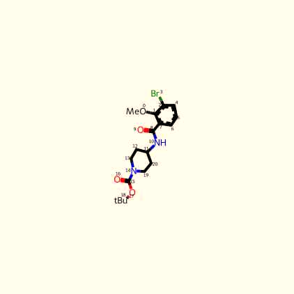 COc1c(Br)cccc1C(=O)NC1CCN(C(=O)OC(C)(C)C)CC1